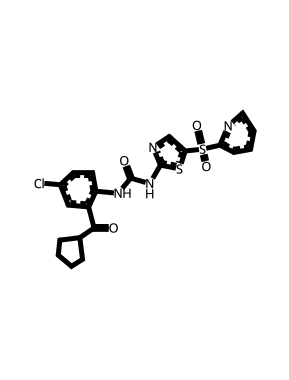 O=C(Nc1ncc(S(=O)(=O)c2ccccn2)s1)Nc1ccc(Cl)cc1C(=O)C1CCCC1